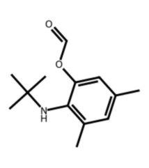 Cc1cc(C)c(NC(C)(C)C)c(OC=O)c1